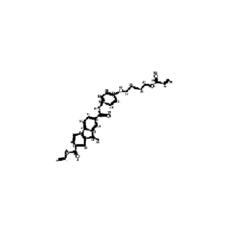 C=COC(=O)c1ccc2c(c1)C(C)c1cc(C(=O)Sc3ccc(OCCCCOC(=O)C=C)cc3)ccc1-2